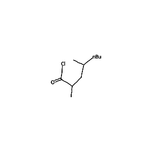 CCCCC(C)CC(C)C(=O)Cl